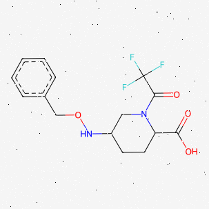 O=C(O)C1CCC(NOCc2ccccc2)CN1C(=O)C(F)(F)F